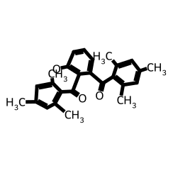 Cc1cc(C)c(C(=O)c2cccc([O])c2C(=O)c2c(C)cc(C)cc2C)c(C)c1